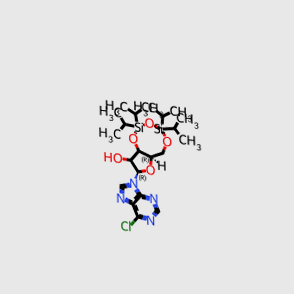 CC(C)[Si]1(C(C)C)OC[C@H]2O[C@@H](n3cnc4c(Cl)ncnc43)C(O)C2O[Si](C(C)C)(C(C)C)O1